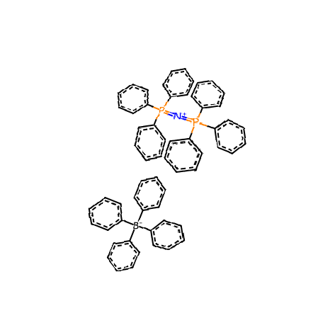 c1ccc(P(=[N+]=P(c2ccccc2)(c2ccccc2)c2ccccc2)(c2ccccc2)c2ccccc2)cc1.c1ccc([B-](c2ccccc2)(c2ccccc2)c2ccccc2)cc1